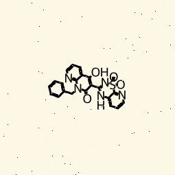 O=c1c(C2=NS(=O)(=O)c3ncccc3N2)c(O)c2cccnc2n1Cc1ccccc1